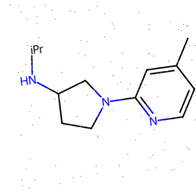 Cc1ccnc(N2CCC(NC(C)C)C2)c1